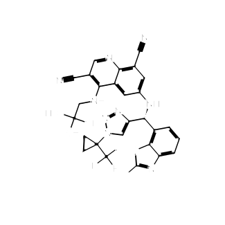 Cc1nc2cccc([C@H](Nc3cc(C#N)c4ncc(C#N)c(NCC(C)(C)C)c4c3)c3cn(C4(C(F)(F)F)CC4)nn3)c2s1